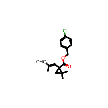 CC(C=O)=CC1(C(=O)OCc2ccc(Cl)cc2)CC1(C)C